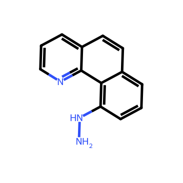 NNc1cccc2ccc3cccnc3c12